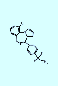 CC(F)(F)c1ccc(C2=NCc3cccc(Cl)c3-n3cccc32)cc1